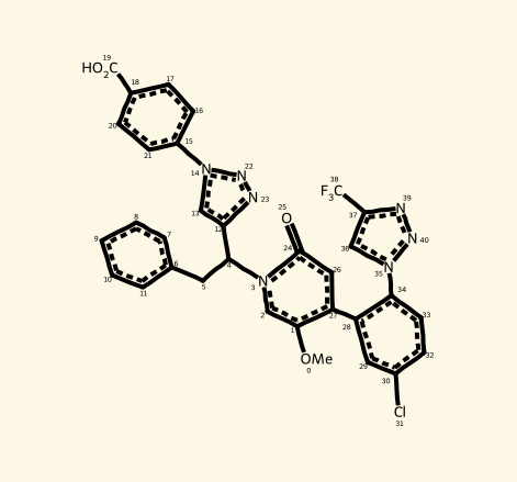 COc1cn(C(Cc2ccccc2)c2cn(-c3ccc(C(=O)O)cc3)nn2)c(=O)cc1-c1cc(Cl)ccc1-n1cc(C(F)(F)F)nn1